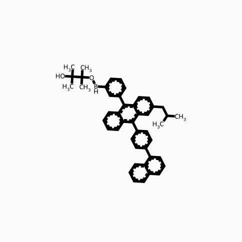 CC(C)Cc1ccc2c(-c3cccc(BOC(C)(C)C(C)(C)O)c3)c3ccccc3c(-c3ccc(-c4cccc5ccccc45)cc3)c2c1